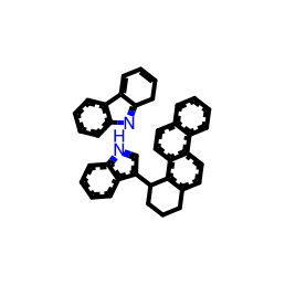 C1=CCC2=Nc3ccccc3C2=C1.c1ccc2c(c1)ccc1c3c(ccc12)CCCC3c1c[nH]c2ccccc12